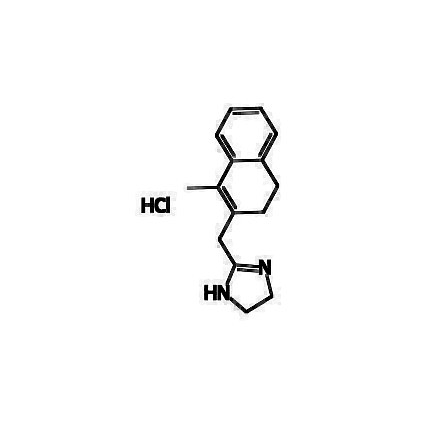 CC1=C(CC2=NCCN2)CCc2ccccc21.Cl